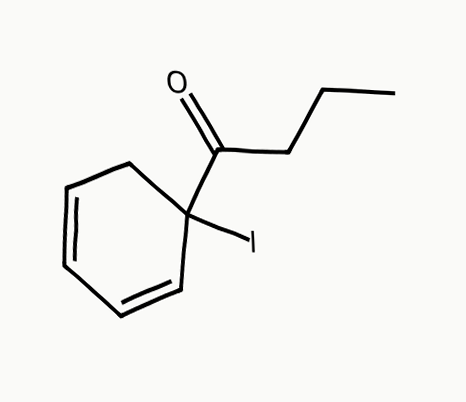 CCCC(=O)C1(I)C=CC=CC1